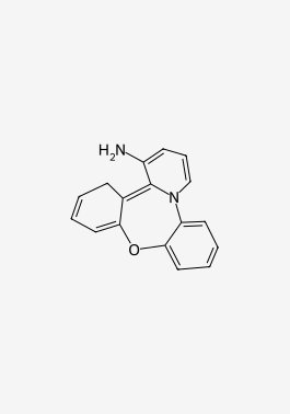 NC1=CC=CN2C1=C1CC=CC=C1Oc1ccccc12